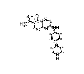 CC(C)N1COc2nc(Nc3ccc(N4CCNCC4)cc3)ncc2C1=O